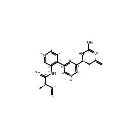 C=CC[C@H](NC(=O)O)c1cncc(-c2ccncc2NC(=O)[C@H](C)C=C)c1